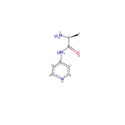 C[C@H](N)C(=O)Nc1ccncc1